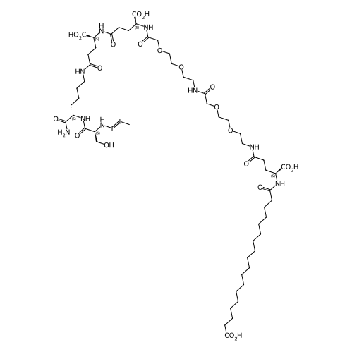 CI=IN[C@@H](CO)C(=O)N[C@@H](CCCCNC(=O)CC[C@H](NC(=O)CC[C@H](NC(=O)COCCOCCNC(=O)COCCOCCNC(=O)CC[C@H](NC(=O)CCCCCCCCCCCCCCCCC(=O)O)C(=O)O)C(=O)O)C(=O)O)C(N)=O